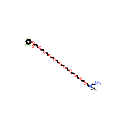 CN(CCN)CCOCCOCCOCCOCCOCCOCCOCCOCCOCCOCCC(=O)Oc1c(F)c(F)cc(F)c1F